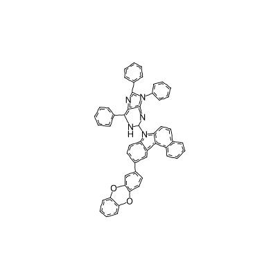 c1ccc(C2=c3nc(-c4ccccc4)n(-c4ccccc4)c3=NC(n3c4ccc(-c5ccc6c(c5)Oc5ccccc5O6)cc4c4c5ccccc5ccc43)N2)cc1